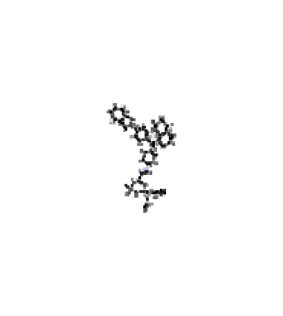 CC1(C)CC(/C=C/c2ccc(N(c3ccc(-c4nc5ccccc5s4)cc3)c3cccc4ccccc34)cc2)=CC(=C(C#N)C#N)C1